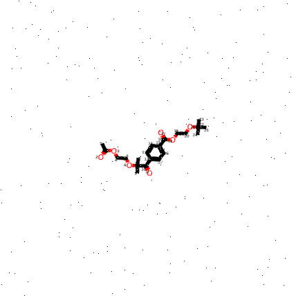 CC(=O)OCCOC(C)(C)C(=O)c1ccc(C(=O)OCCOC(C)(C)C)cc1